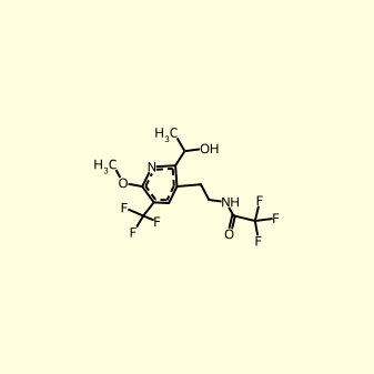 COc1nc(C(C)O)c(CCNC(=O)C(F)(F)F)cc1C(F)(F)F